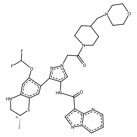 C[C@@H]1CNc2cc(OC(F)F)c(-c3nn(CC(=O)N4CCC(CN5CCOCC5)CC4)cc3NC(=O)c3cnn4cccnc34)cc2S1